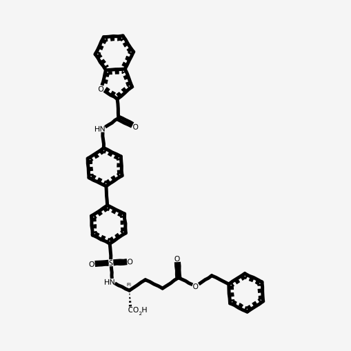 O=C(CC[C@@H](NS(=O)(=O)c1ccc(-c2ccc(NC(=O)c3cc4ccccc4o3)cc2)cc1)C(=O)O)OCc1ccccc1